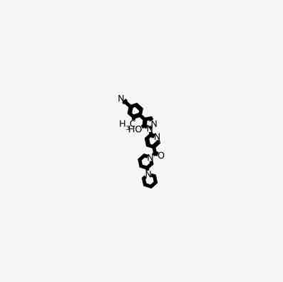 Cc1cc(C#N)ccc1-c1cnn(-c2ccc(C(=O)N3CCCC(N4CCCCC4)C3)cn2)c1O